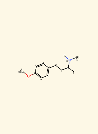 CCCCOc1ccc(CCC(C)N(C)C(C)C)cc1